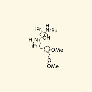 CCCCNC(=O)[C@@H](C[C@H](O)[C@@H](N)C[C@H](Cc1ccc(OC)c(CCOCOC)c1)C(C)C)C(C)C